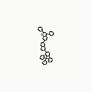 c1ccc(-c2cc(-c3ccccc3)c3ccc(-c4ccc5ccc(-c6ccc7c(c6)C(c6ccccc6)(c6ccccc6)c6ccccc6-7)cc5c4)cc3n2)cc1